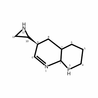 C1=NC2PCCCC2C[C@@H]1C1CN1